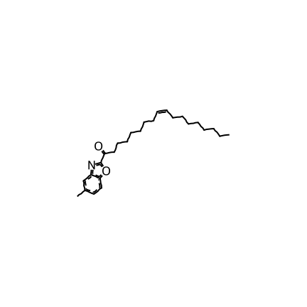 CCCCCCCC/C=C\CCCCCCCC(=O)c1nc2cc(C)ccc2o1